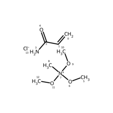 C=CC(N)=O.CO[N+](C)(OC)OC.[Cl-]